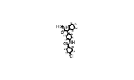 O=C(Nc1ccc(C(C(=O)NO)c2ccccc2)cc1)c1ccc(Cl)cc1